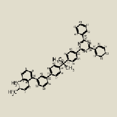 CC/C=C\c1c(C)cccc1-c1cccc(-c2ccc(C(C)(C)c3ccc(-c4nc(C5=CCCC=C5)nc(-c5ccccc5)n4)cc3)cc2)c1